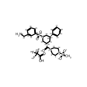 CS(=O)(=O)N1CCN(C(=O)[C@H]2C[C@H](c3ccccc3)CN(S(=O)(=O)c3cccc(CN)c3)C2)CC1.O=C(O)C(F)(F)F